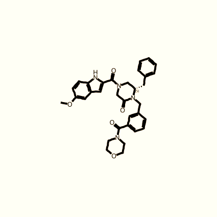 COc1ccc2[nH]c(C(=O)N3CC(=O)N(Cc4cccc(C(=O)N5CCOCC5)c4)[C@@H](Cc4ccccc4)C3)cc2c1